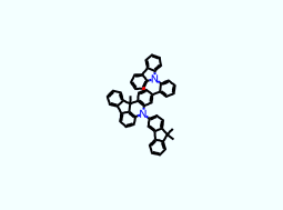 CC1(C)c2ccccc2-c2cc(N3c4cc(-c5ccccc5-n5c6ccccc6c6ccccc65)ccc4C4(C)c5ccccc5-c5cccc3c54)ccc21